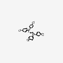 Clc1ccc(P(CCP(c2ccc(Cl)cc2)c2ccc(Cl)cc2)c2ccc(Cl)cc2)cc1